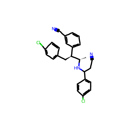 C[C@H](NC(CC#N)c1ccc(Cl)cc1)[C@@H](Cc1ccc(Cl)cc1)c1cccc(C#N)c1